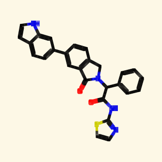 O=C(Nc1nccs1)C(c1ccccc1)N1Cc2ccc(-c3ccc4cc[nH]c4c3)cc2C1=O